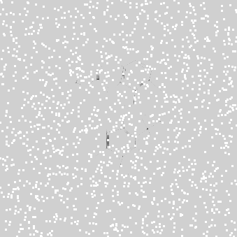 COC(=O)Oc1cccc(C)c1COc1cc(Cl)c(C)cc1C(F)(F)F